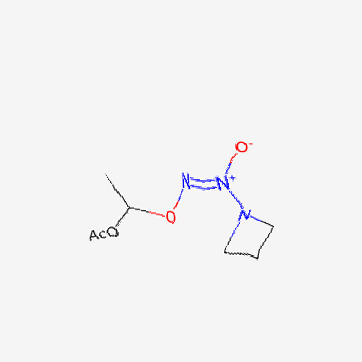 CC(=O)OC(C)O/N=[N+](/[O-])N1CCC1